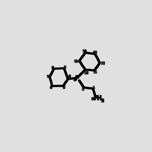 PCCP(C1CCCCC1)C1CCCCC1